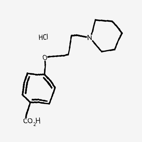 Cl.O=C(O)c1ccc(OCCN2CCCCC2)cc1